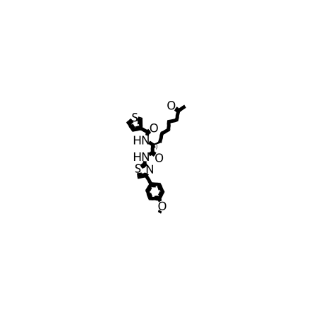 COc1ccc(-c2csc(NC(=O)[C@H](CCCCCC(C)=O)NC(=O)c3ccsc3)n2)cc1